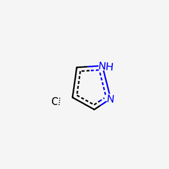 [C].c1cn[nH]c1